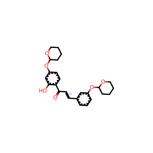 O=C(/C=C/c1cccc(OC2CCCCO2)c1)c1ccc(OC2CCCCO2)cc1O